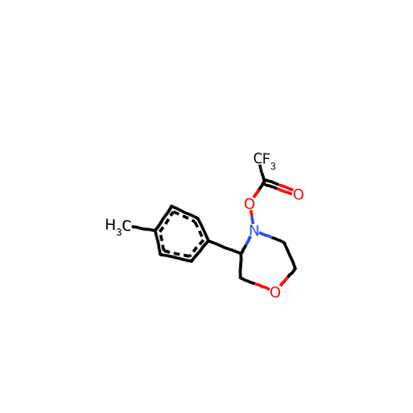 Cc1ccc(C2COCCN2OC(=O)C(F)(F)F)cc1